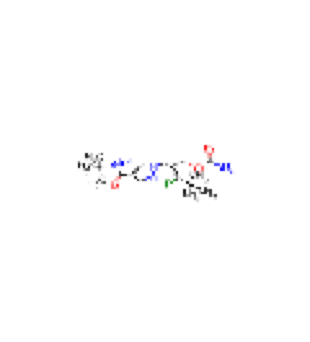 CC(C)(C)NC(=O)c1cnn(CC(COC(N)=O)=C(F)C(C)(C)C)c1